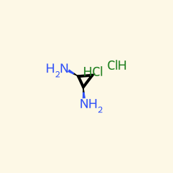 Cl.Cl.N[C@@H]1C[C@@H]1N